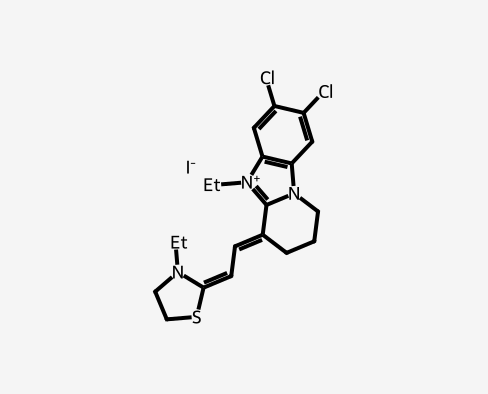 CCN1CCSC1=CC=C1CCCn2c1[n+](CC)c1cc(Cl)c(Cl)cc12.[I-]